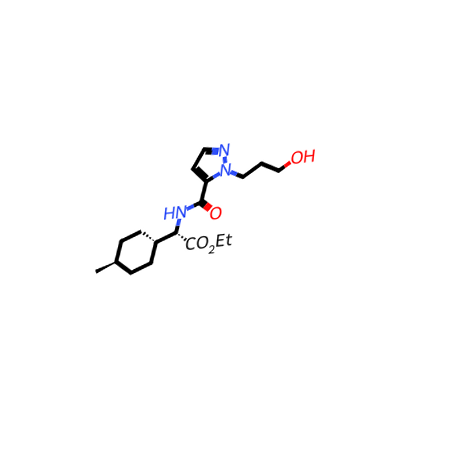 CCOC(=O)[C@@H](NC(=O)c1ccnn1CCCO)[C@H]1CC[C@H](C)CC1